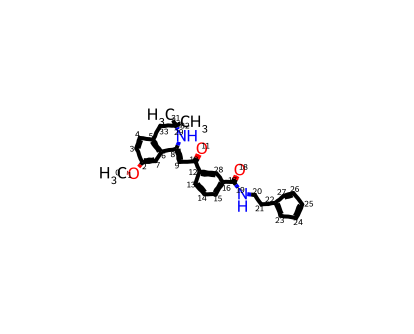 COc1ccc2c(c1)C(=CC(=O)c1cccc(C(=O)NCCc3ccccc3)c1)NC(C)(C)C2